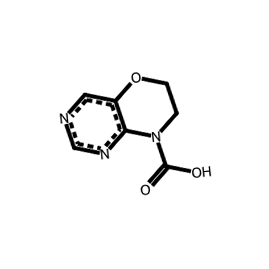 O=C(O)N1CCOc2cncnc21